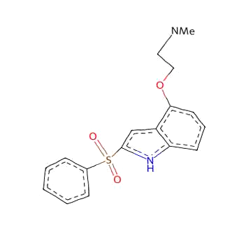 CNCCOc1cccc2[nH]c(S(=O)(=O)c3ccccc3)cc12